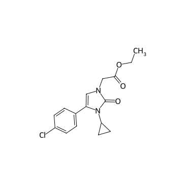 CCOC(=O)Cn1cc(-c2ccc(Cl)cc2)n(C2CC2)c1=O